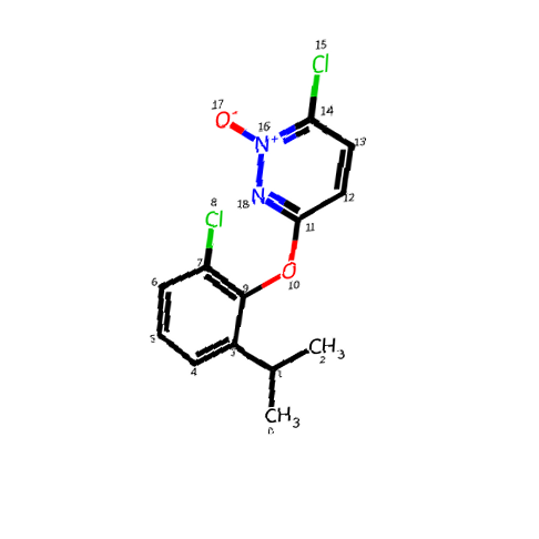 CC(C)c1cccc(Cl)c1Oc1ccc(Cl)[n+]([O-])n1